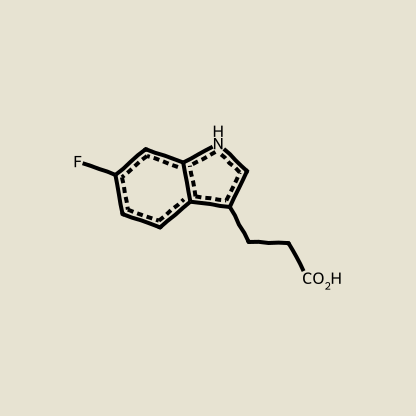 O=C(O)CCc1c[nH]c2cc(F)ccc12